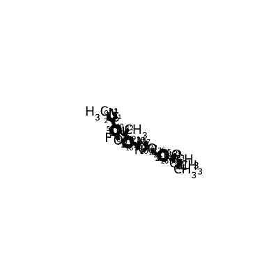 Cc1cc(-c2cc(F)c(=O)n(C(C)c3cccc(-c4ncc(OCC5CCN(C(=O)OC(C)(C)C)CC5)cn4)c3)c2)sn1